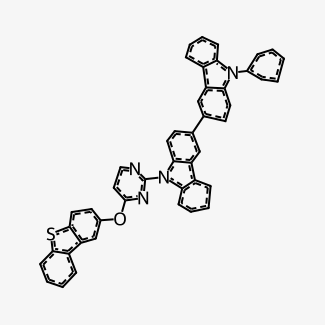 c1ccc(-n2c3ccccc3c3cc(-c4ccc5c(c4)c4ccccc4n5-c4nccc(Oc5ccc6sc7ccccc7c6c5)n4)ccc32)cc1